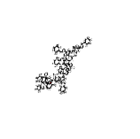 CC(C)(C)OC(=O)C(CCCN(CC(=O)OCc1ccccc1)C(=N)NCC(=O)OCc1ccccc1)NC(=O)[C@H](Cc1ccccc1)NC(=O)[C@@H]1CCCN1C(=O)[C@H](COCc1ccccc1)NC(=O)[C@H](Cc1ccccc1)NC(=O)CNC(=O)[C@@H]1CCCN1C(=O)[C@@H]1CCCN1